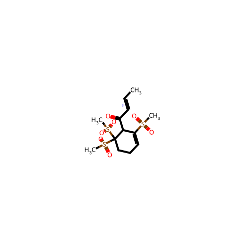 C/C=C/C(=O)C1C(S(C)(=O)=O)=CCCC1(S(C)(=O)=O)S(C)(=O)=O